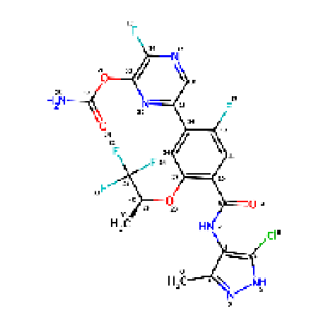 Cc1n[nH]c(Cl)c1NC(=O)c1cc(F)c(-c2cnc(F)c(OC(N)=O)n2)cc1O[C@@H](C)C(F)(F)F